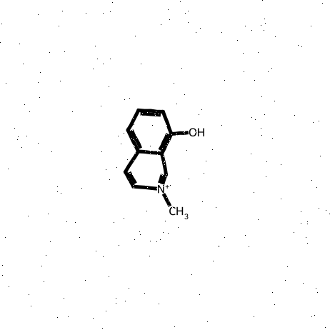 C[n+]1ccc2cccc(O)c2c1